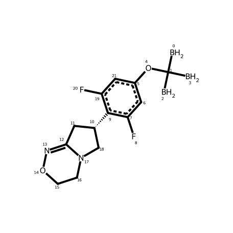 BC(B)(B)Oc1cc(F)c([C@H]2CC3=NOCCN3C2)c(F)c1